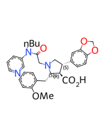 CCCCN(C(=O)CN1C[C@H](c2ccc3c(c2)OCO3)[C@@H](C(=O)O)[C@@H]1Cc1ccccc1OC)c1cccnc1